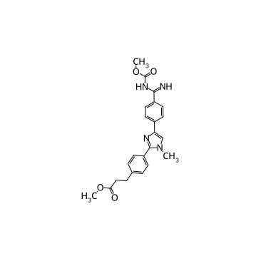 COC(=O)CCc1ccc(-c2nc(-c3ccc(C(=N)NC(=O)OC)cc3)cn2C)cc1